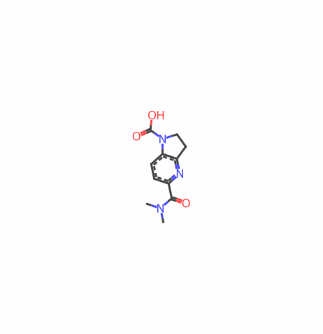 CN(C)C(=O)c1ccc2c(n1)CCN2C(=O)O